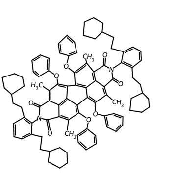 Cc1c2c3c(c(C)c(Oc4ccccc4)c4c5c(Oc6ccccc6)c(C)c6c7c(c(C)c(Oc8ccccc8)c(c(c1Oc1ccccc1)c34)c75)C(=O)N(c1c(CCC3CCCCC3)cccc1CCC1CCCCC1)C6=O)C(=O)N(c1c(CCC3CCCCC3)cccc1CCC1CCCCC1)C2=O